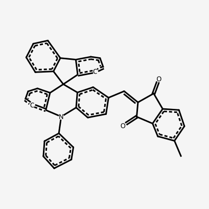 Cc1ccc2c(c1)C(=O)/C(=C\c1ccc3c(c1)C1(c4ccccc4-c4ccccc41)c1ccccc1N3c1ccccc1)C2=O